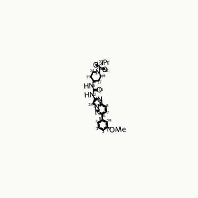 COc1cccc(-c2ccc3nc(NC(=O)NC4CCN(S(=O)(=O)C(C)C)CC4)cn3n2)c1